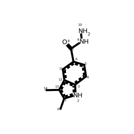 Cc1[nH]c2ccc(C(=O)NN)cc2c1C